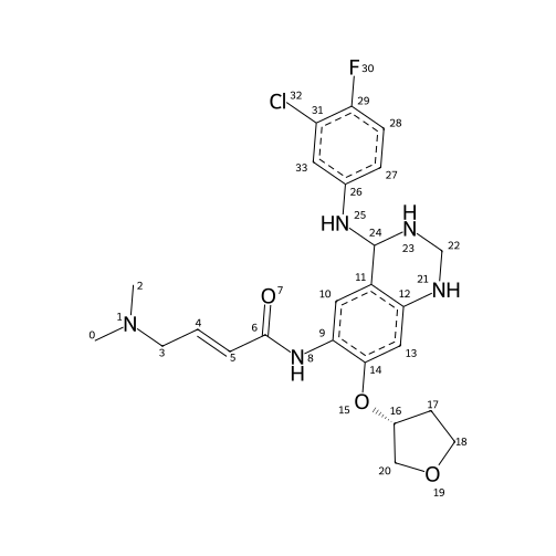 CN(C)C/C=C/C(=O)Nc1cc2c(cc1O[C@@H]1CCOC1)NCNC2Nc1ccc(F)c(Cl)c1